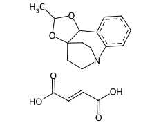 CC1OC2c3ccccc3N3CCC2(CC3)O1.O=C(O)C=CC(=O)O